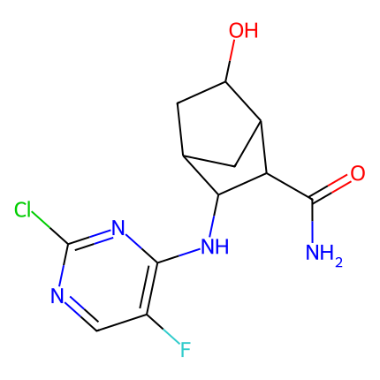 NC(=O)C1C2CC(CC2O)C1Nc1nc(Cl)ncc1F